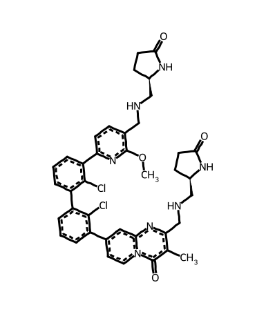 COc1nc(-c2cccc(-c3cccc(-c4ccn5c(=O)c(C)c(CNC[C@H]6CCC(=O)N6)nc5c4)c3Cl)c2Cl)ccc1CNC[C@H]1CCC(=O)N1